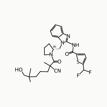 CC(C)(CO)CCCC(C)(C#N)C(=O)N1CCC[C@@H]1Cn1c(NC(=O)c2ccc(C(F)F)s2)nc2ccccc21